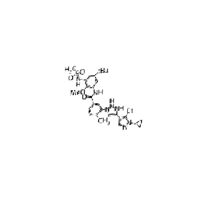 CCc1c(C2=CN(c3cc(C(=O)Nc4cc(C(C)(C)C)cc(NS(C)(=O)=O)c4OC)ccc3C)NN2)cnn1C1CC1